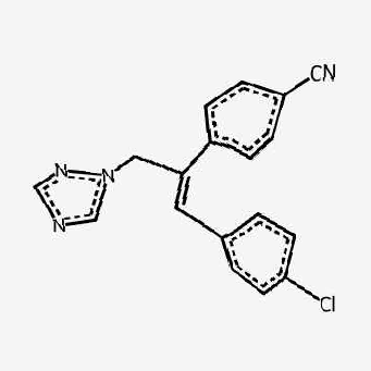 N#Cc1ccc(/C(=C\c2ccc(Cl)cc2)Cn2cncn2)cc1